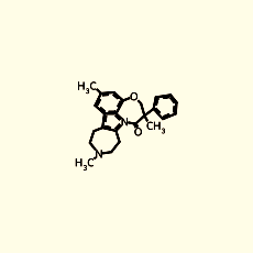 Cc1cc2c3c(c1)c1c(n3C(=O)C(C)(c3ccccc3)CO2)CCN(C)CC1